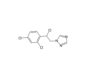 Clc1ccc(C(Cl)Cn2cncn2)c(Cl)c1